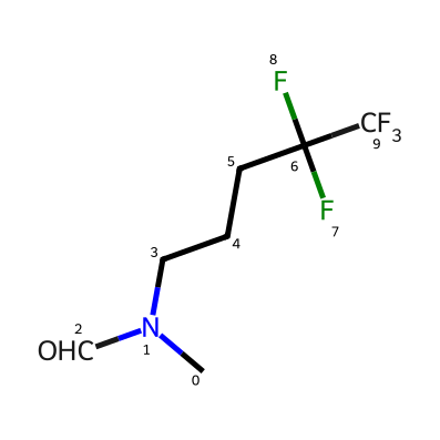 CN(C=O)CCCC(F)(F)C(F)(F)F